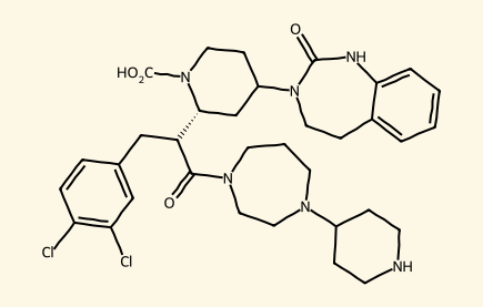 O=C(C(Cc1ccc(Cl)c(Cl)c1)[C@H]1CC(N2CCc3ccccc3NC2=O)CCN1C(=O)O)N1CCCN(C2CCNCC2)CC1